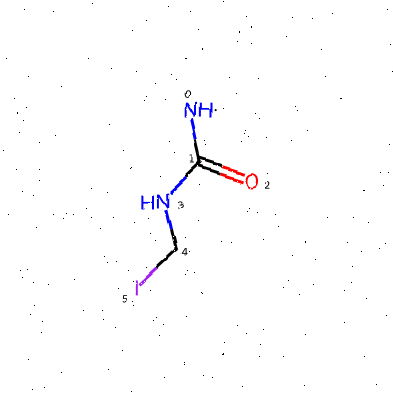 [NH]C(=O)NCI